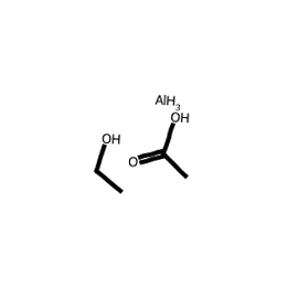 CC(=O)O.CCO.[AlH3]